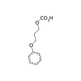 O=C(O)OCCCOc1ccccc1